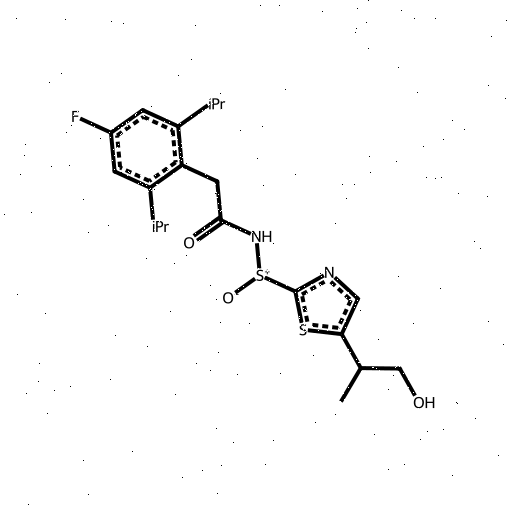 CC(C)c1cc(F)cc(C(C)C)c1CC(=O)N[S+]([O-])c1ncc(C(C)CO)s1